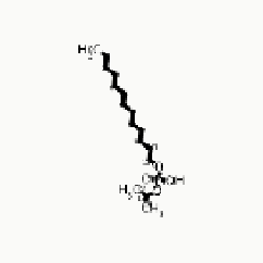 CCCCCCCCCCCCCOP(=O)(O)OC(C)C